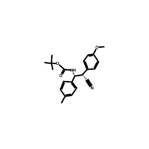 COc1ccc([C@H](C#N)[C@@H](NC(=O)OC(C)(C)C)c2ccc(C)cc2)cc1